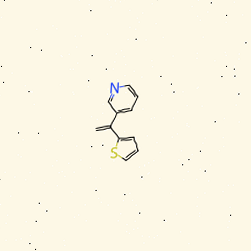 C=C(c1cccnc1)c1cccs1